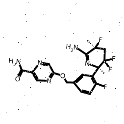 C[C@]1(F)CC(F)(F)[C@@](C)(c2cc(COc3cnc(C(N)=O)cn3)ccc2F)N=C1N